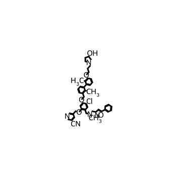 Cc1c(COc2cc(OCc3cncc(C#N)c3)c(CN(C)Cc3cc(-c4ccccc4)on3)cc2Cl)cccc1-c1cccc(OCCCN2CCC(O)C2)c1C